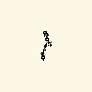 Cc1ccc(S(=O)(=O)OCCOCCOCCN(C(=O)OC(C)(C)C)c2ccc(-c3ccc4ccccc4n3)cc2)cc1